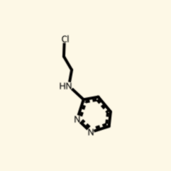 ClCCNc1cccnn1